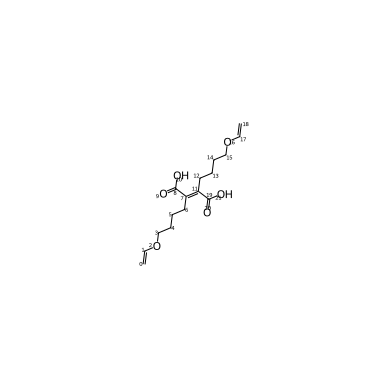 C=COCCCCC(C(=O)O)=C(CCCCOC=C)C(=O)O